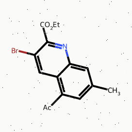 CCOC(=O)c1nc2cc(C)cc(C(C)=O)c2cc1Br